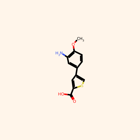 COc1ccc(-c2csc(C(=O)O)c2)cc1N